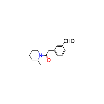 CC1CCCCN1C(=O)Cc1cccc(C=O)c1